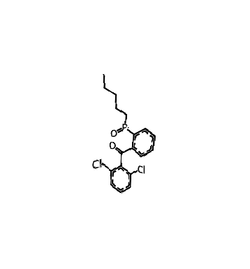 CCCCC[P](=O)c1ccccc1C(=O)c1c(Cl)cccc1Cl